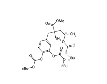 CCCCOC(=O)Oc1ccc(CC(N)(C[C@H](C)OC(=O)O[C@@H](C)CC)C(=O)OC)cc1OC(=O)OCCCC